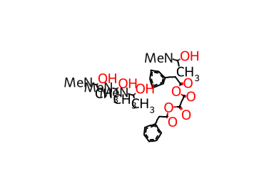 CNC(C)O.CNC(C)O.CNC(C)O.CNC(C)O.O=C(Cc1ccccc1)OC(=O)C(=O)OC(=O)Cc1ccccc1